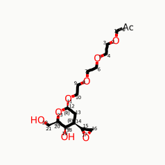 CC(=O)COCCOCCOCCO[C@H]1C[C@@H](C2CO2)[C@@H](O)[C@@H](CO)O1